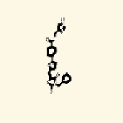 O=C(OCc1c[nH]cn1)c1ccc(-c2ccc(/C=C3/SC(=S)N(Cc4ccccc4)C3=O)o2)cc1